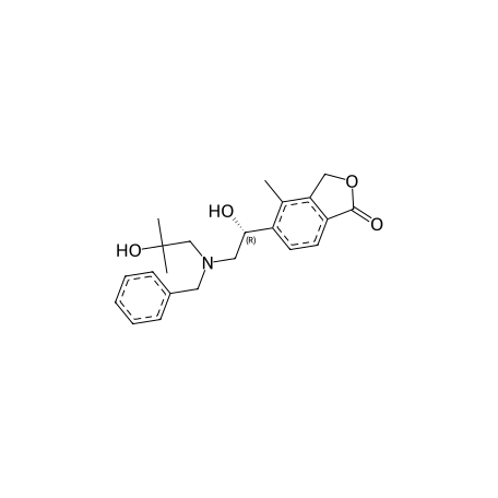 Cc1c([C@@H](O)CN(Cc2ccccc2)CC(C)(C)O)ccc2c1COC2=O